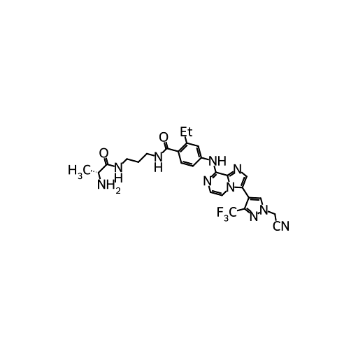 CCc1cc(Nc2nccn3c(-c4cn(CC#N)nc4C(F)(F)F)cnc23)ccc1C(=O)NCCCNC(=O)[C@@H](C)N